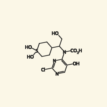 O=C(O)N(c1nc(Cl)ncc1O)C(CO)C1CCS(O)(O)CC1